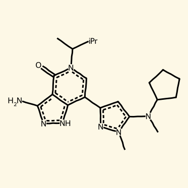 CC(C)C(C)n1cc(-c2cc(N(C)C3CCCC3)n(C)n2)c2[nH]nc(N)c2c1=O